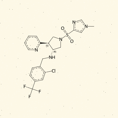 Cn1cnc(S(=O)(=O)N2C[C@H](NCc3ccc(C(F)(F)F)cc3Cl)[C@@H](c3ccccn3)C2)c1